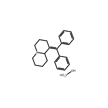 O=S(=O)(O)O.c1ccc(C(=C2CCCN3CCCCC23)c2ccccc2)cc1